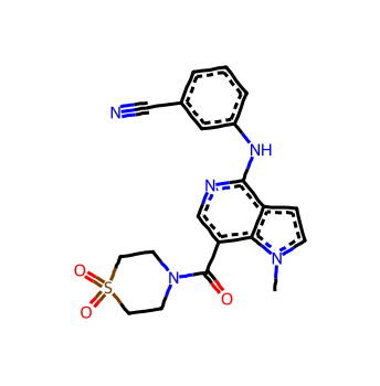 Cn1ccc2c(Nc3cccc(C#N)c3)ncc(C(=O)N3CCS(=O)(=O)CC3)c21